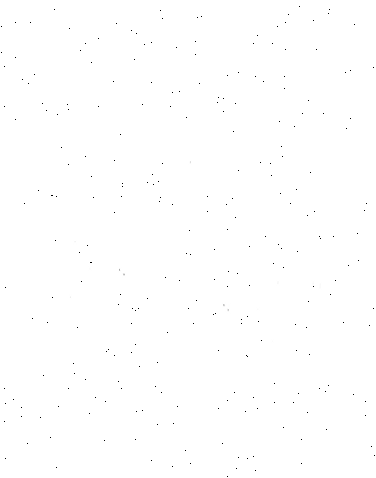 CC(C)(C)OC(=O)N1CC=C(CN(C(=O)C(F)(F)F)c2ccc(Cl)cc2I)CC1